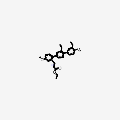 CCOC(=O)/C=C/c1cc(OC)ccc1-c1ccc(-c2ccc(OC)c(CC)c2)c(CC)c1